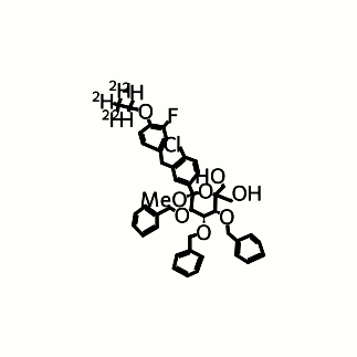 [2H]C([2H])([2H])C([2H])([2H])Oc1ccc(Cc2cc([C@]3(OC)OC(CO)(CO)[C@@H](OCc4ccccc4)[C@H](OCc4ccccc4)[C@H]3OCc3ccccc3)ccc2Cl)cc1F